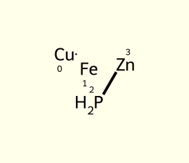 [Cu].[Fe].[PH2][Zn]